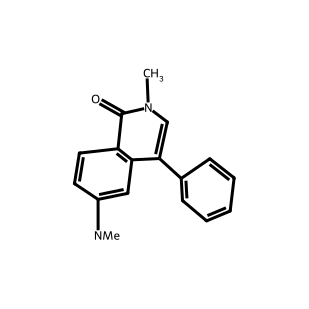 CNc1ccc2c(=O)n(C)cc(-c3ccccc3)c2c1